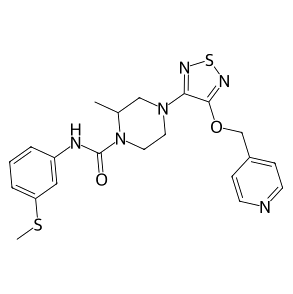 CSc1cccc(NC(=O)N2CCN(c3nsnc3OCc3ccncc3)CC2C)c1